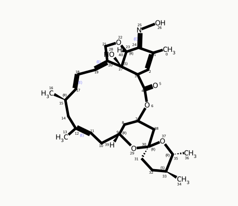 CC1=CC2C(=O)OC3C[C@@H](C/C=C(\C)C[C@@H](C)/C=C/C=C4\CO[C@H](/C1=N/O)[C@@]42O)O[C@@]1(CC[C@H](C)[C@@H](C)O1)C3